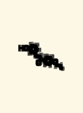 CCCOc1ccc(C(=O)/C=C/c2cccc(O)c2)cc1